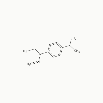 C=NN(CC)c1ccc(C(C)C)cc1